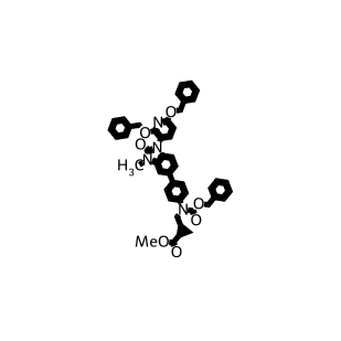 COC(=O)C1CC1CN(C(=O)OCc1ccccc1)c1ccc(-c2ccc3c(c2)n(C)c(=O)n3-c2ccc(OCc3ccccc3)nc2OCc2ccccc2)cc1